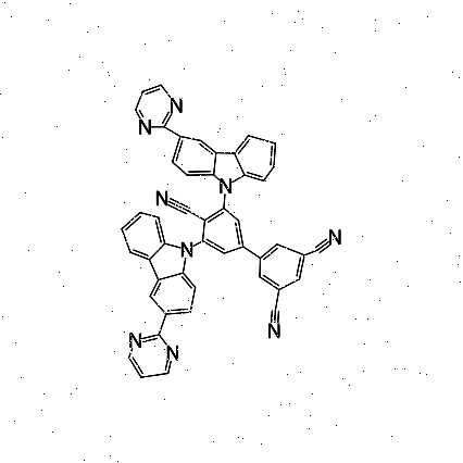 N#Cc1cc(C#N)cc(-c2cc(-n3c4ccccc4c4cc(-c5ncccn5)ccc43)c(C#N)c(-n3c4ccccc4c4cc(-c5ncccn5)ccc43)c2)c1